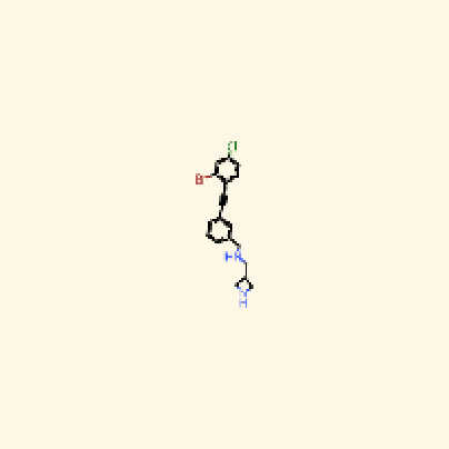 Clc1ccc(C#Cc2cccc(CNCC3CNC3)c2)c(Br)c1